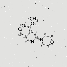 COC(=O)c1cc(N2CCOCC2)ncc1C=O